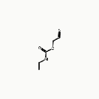 CCNC(=O)OCC=S